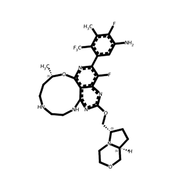 Cc1c(F)c(N)cc(-c2nc3c4c(nc(OC[C@@H]5CC[C@H]6COCCN65)nc4c2F)NCCNCC[C@H](C)O3)c1C(F)(F)F